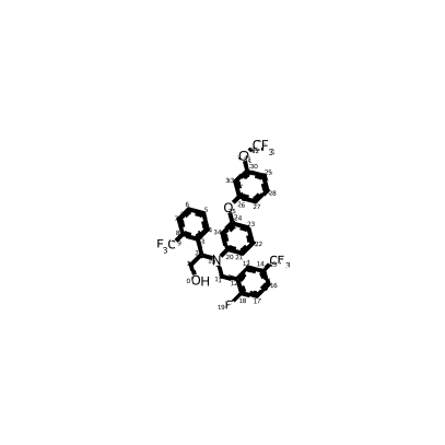 OCC(c1ccccc1C(F)(F)F)N(Cc1cc(C(F)(F)F)ccc1F)c1cccc(Oc2cccc(OC(F)(F)F)c2)c1